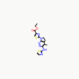 CCOC(=O)c1csc(N2CCc3c2nnc(Nc2nccs2)c3C)n1